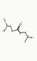 O=C(CCC(F)F)OCC(F)F